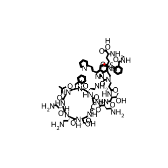 CNC(=O)c1ccccc1Sc1ccc2c(/C=C/c3ccccn3)nn(C(=O)N(CCNC(=O)CC[C@H](N)C(=O)O)CCC(=O)N[C@H](C(=O)N[C@@H](CCN)C(=O)N[C@H]3CCNC(=O)[C@H]([C@@H](C)O)NC(=O)[C@H](CCN)NC(=O)[C@H](CCN)NC(=O)[C@H](CC(C)C)NC(=O)[C@@H](Cc4ccccc4)NC(=O)[C@H](CCN)NC3=O)[C@@H](C)O)c2c1